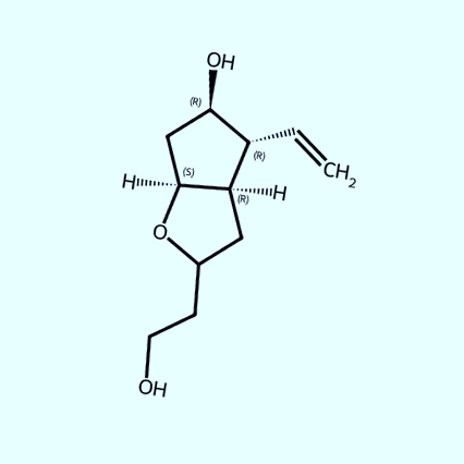 C=C[C@@H]1[C@H]2CC(CCO)O[C@H]2C[C@H]1O